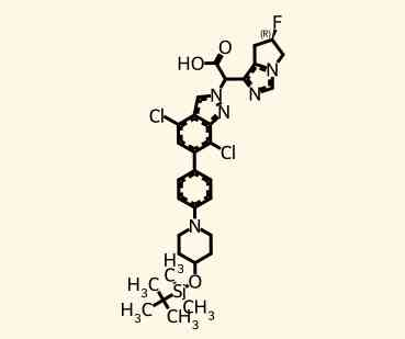 CC(C)(C)[Si](C)(C)OC1CCN(c2ccc(-c3cc(Cl)c4cn(C(C(=O)O)c5ncn6c5C[C@@H](F)C6)nc4c3Cl)cc2)CC1